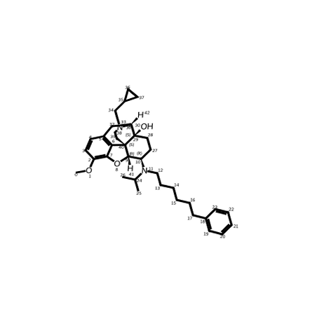 COc1ccc2c3c1O[C@H]1[C@H](N(CCCCCCc4ccccc4)C(C)C)CC[C@@]4(O)[C@@H](C2)N(CC2CC2)CC[C@]314